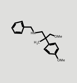 COCC(C)(CNCc1ccccc1)c1ccc(OC)cc1